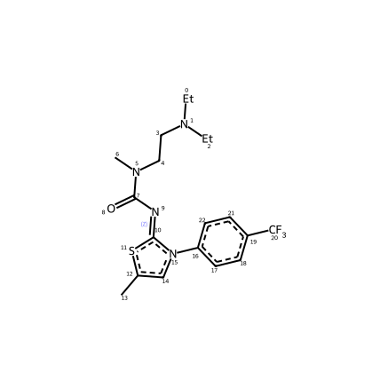 CCN(CC)CCN(C)C(=O)/N=c1\sc(C)cn1-c1ccc(C(F)(F)F)cc1